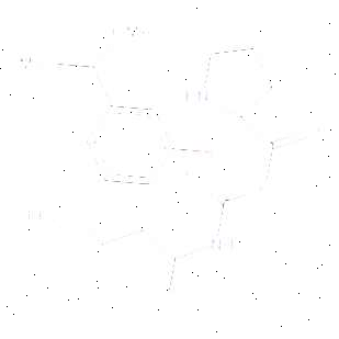 CCOC(=O)CCC(C)NC(=O)OC(=O)[C@]1(Oc2cccc(C(OC)OC)c2)CCCN1